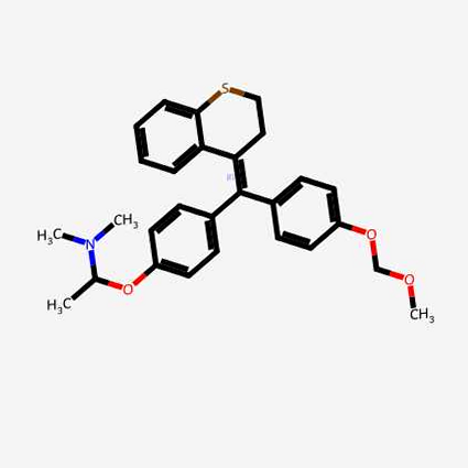 COCOc1ccc(/C(=C2\CCSc3ccccc32)c2ccc(OC(C)N(C)C)cc2)cc1